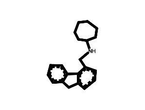 c1ccc2c(c1)Cc1cccc(CNC3CCCCCC3)c1-2